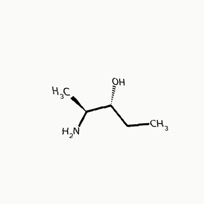 CC[C@@H](O)[C@H](C)N